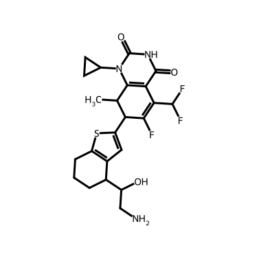 CC1c2c(c(=O)[nH]c(=O)n2C2CC2)C(C(F)F)=C(F)C1c1cc2c(s1)CCCC2C(O)CN